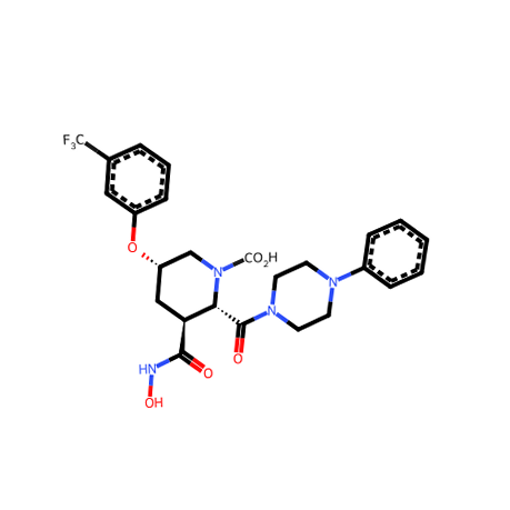 O=C(NO)[C@H]1C[C@H](Oc2cccc(C(F)(F)F)c2)CN(C(=O)O)[C@@H]1C(=O)N1CCN(c2ccccc2)CC1